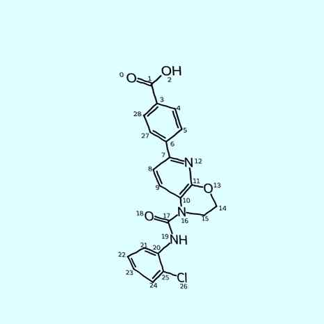 O=C(O)c1ccc(-c2ccc3c(n2)OCCN3C(=O)Nc2ccccc2Cl)cc1